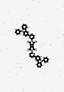 O=C1C2C(C(=O)N1c1cccc(-c3ccc4c(c3)c3ccccc3n4-c3ccccc3)n1)C1C(=O)N(c3cccc(-c4ccc5c(c4)c4ccccc4n5-c4ccccc4)n3)C(=O)C21